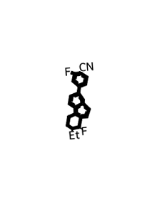 CC[C@H]1CCc2c(ccc3cc(-c4ccc(C#N)c(F)c4)ccc23)[C@@H]1F